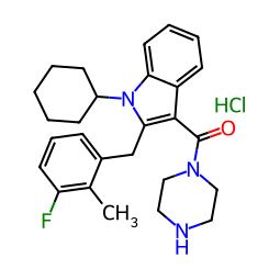 Cc1c(F)cccc1Cc1c(C(=O)N2CCNCC2)c2ccccc2n1C1CCCCC1.Cl